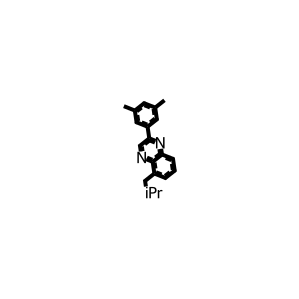 Cc1cc(C)cc(-c2cnc3c(CC(C)C)cccc3n2)c1